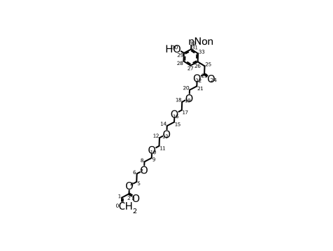 C=CC(=O)OCCOCCOCCOCCOCCOCCOC(=O)Cc1ccc(O)c(CCCCCCCCC)c1